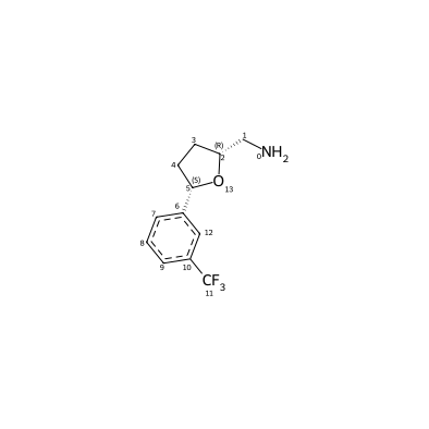 NC[C@H]1CC[C@@H](c2cccc(C(F)(F)F)c2)O1